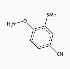 CSc1cc(C#N)ccc1ON